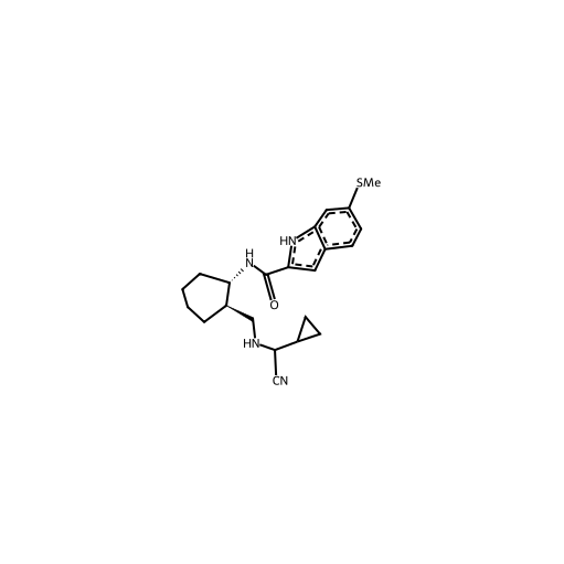 CSc1ccc2cc(C(=O)N[C@H]3CCCC[C@@H]3CNC(C#N)C3CC3)[nH]c2c1